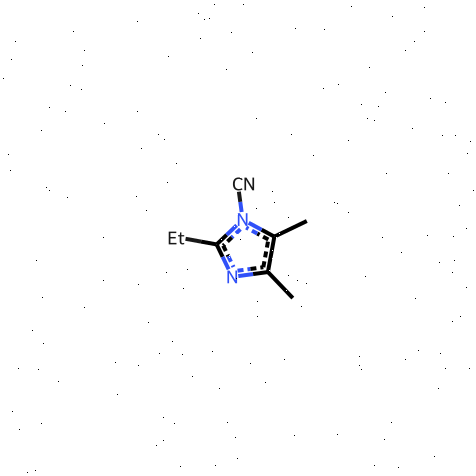 CCc1nc(C)c(C)n1C#N